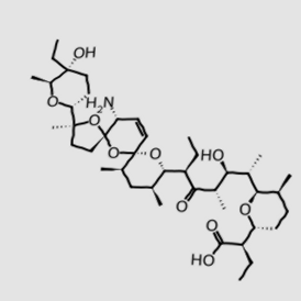 CC[C@@H](C(=O)[C@@H](C)[C@@H](O)[C@H](C)[C@@H]1O[C@@H]([C@@H](CC)C(=O)O)CC[C@@H]1C)[C@H]1O[C@]2(C=C[C@@H](N)[C@]3(CC[C@@](C)([C@H]4CC[C@](O)(CC)[C@H](C)O4)O3)O2)[C@H](C)C[C@@H]1C